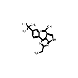 CCc1nc(-c2ccc(C(C)(C)O)cc2)c2c(C(=O)O)c[nH]c2n1